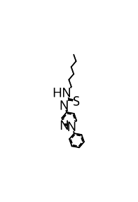 CCCCCCNC(=S)N=c1ccn(-c2ccccc2)nc1